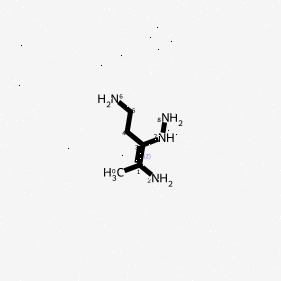 C/C(N)=C(\CCN)NN